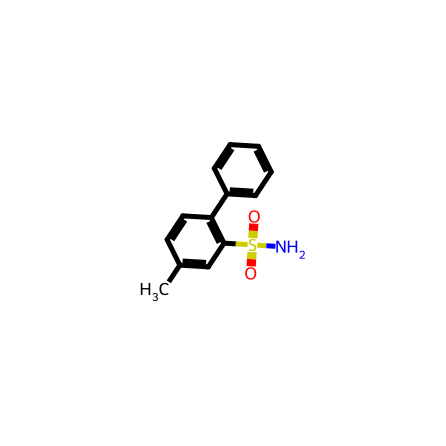 Cc1ccc(-c2ccccc2)c(S(N)(=O)=O)c1